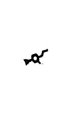 [CH2]c1cc(C2CC2)ccc1CCC